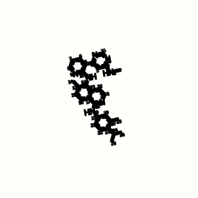 CNc1cc(-c2cccnc2Nc2c(C)ccc3c(Nc4ccc(C(C)C)c(C)c4)nccc23)ncn1